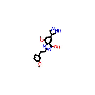 COc1cccc(CCc2nc(O)c3cc(C4C=NNC4)cc(OC)c3n2)c1